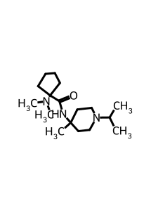 CC(C)N1CCC(C)(NC(=O)C2(N(C)C)CCCC2)CC1